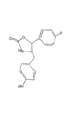 CC(C)(C)c1ccc(CC2NC(=O)OC2c2ccc(F)cc2)cc1